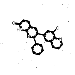 O=c1ccc2cc(-c3cc(Cl)c4ncccc4c3)c(-c3ccccc3)nc2[nH]1